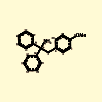 COc1ccc(CC(N)(c2ccccc2)c2ccccc2)cc1